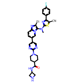 CCc1nc2ccc(-c3cnc(N4CCC(C(=O)NC5CNC5)CC4)nc3)cn2c1N(C)c1nc(-c2ccc(F)cc2)c(C#N)s1